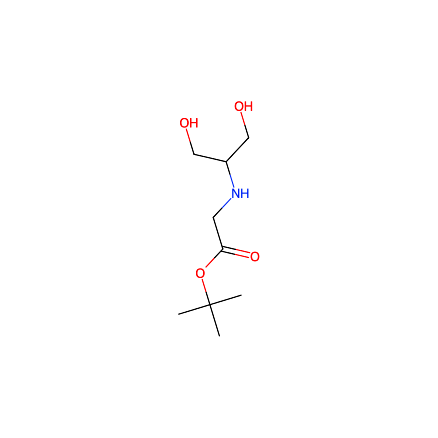 CC(C)(C)OC(=O)CNC(CO)CO